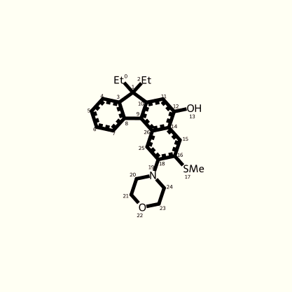 CCC1(CC)c2ccccc2-c2c1cc(O)c1cc(SC)c(N3CCOCC3)cc21